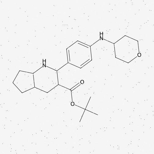 CC(C)(C)OC(=O)C1CC2CCCC2NC1c1ccc(NC2CCOCC2)cc1